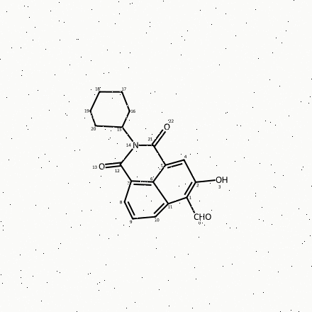 O=Cc1c(O)cc2c3c(cccc13)C(=O)N(C1CCCCC1)C2=O